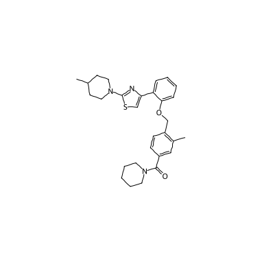 Cc1cc(C(=O)N2CCCCC2)ccc1COc1ccccc1-c1csc(N2CCC(C)CC2)n1